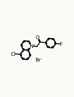 O=C(C[n+]1cccc2c(Cl)cccc21)c1ccc(F)cc1.[Br-]